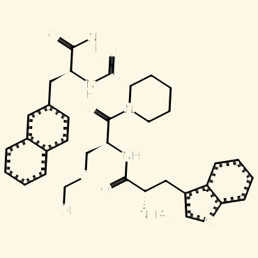 CC(=O)N[C@@H](Cc1csc2ccccc12)C(=O)N[C@@H](CSCO)C(=O)N1CCCC[C@H]1C(=O)N[C@@H](Cc1ccc2ccccc2c1)C(N)=O